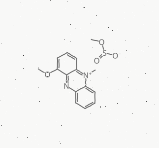 COS(=O)[O-].COc1cccc2c1nc1ccccc1[n+]2C